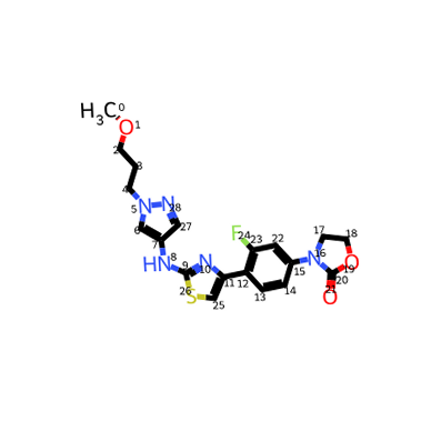 COCCCn1cc(Nc2nc(-c3ccc(N4CCOC4=O)cc3F)cs2)cn1